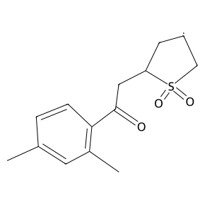 Cc1ccc(C(=O)CC2C[CH]CS2(=O)=O)c(C)c1